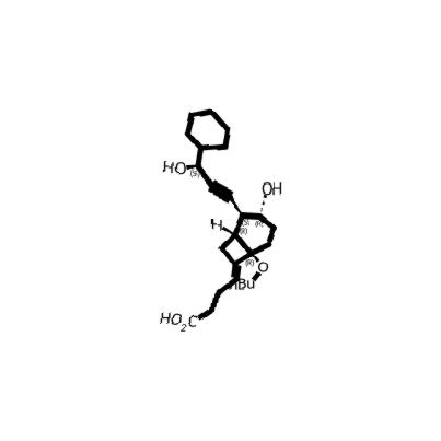 CCCCO[C@]12CC[C@@H](O)[C@H](C#C[C@@H](O)C3CCCCC3)[C@H]1CC2=CCCC(=O)O